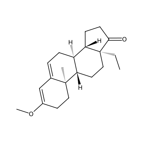 CC[C@]12CC[C@H]3[C@@H](CC=C4C=C(OC)CC[C@@]43C)[C@@H]1CCC2=O